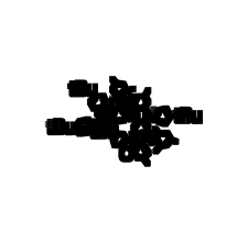 Cc1cc(C)c(N2c3cc4c(cc3B3c5cc(C(C)(C)C)ccc5Oc5cc(C)cc2c53)B2c3cc5c(cc3N(c3c(C)cc(C)cc3C)c3cc(C)cc(c32)N4c2ccc(C(C)(C)C)cc2)N(c2ccc(C(C)(C)C)cc2)c2cc(C)cc3c2B5c2cc(C(C)(C)C)ccc2N3c2ccc(C(C)(C)C)cc2)c(C)c1